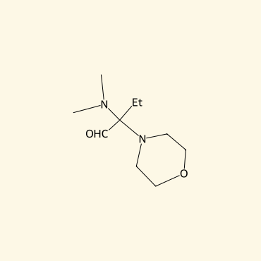 CCC(C=O)(N(C)C)N1CCOCC1